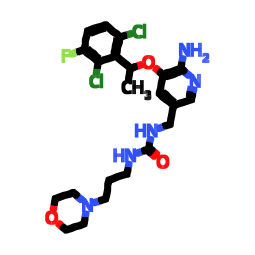 CC(Oc1cc(CNC(=O)NCCCN2CCOCC2)cnc1N)c1c(Cl)ccc(F)c1Cl